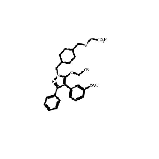 COc1cccc(-c2c(-c3ccccc3)nn(CC3CCC(COCC(=O)O)CC3)c2OCC#N)c1